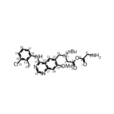 CCCCN(CC(=O)OC(=O)CN)Cc1cc2c(Nc3cccc(Cl)c3F)ncnc2cc1OC